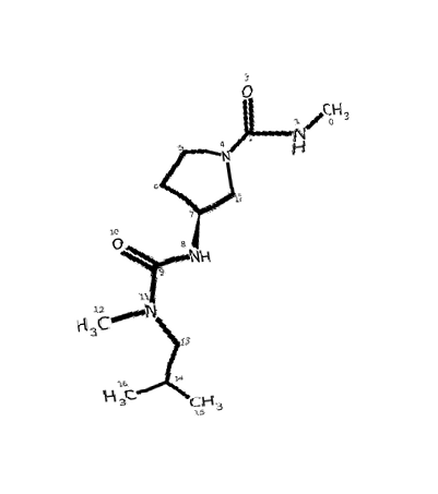 CNC(=O)N1CC[C@H](NC(=O)N(C)CC(C)C)C1